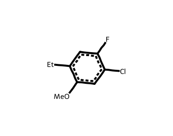 CCc1cc(F)c(Cl)cc1OC